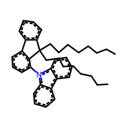 CCCCCCCCC1(CCCCCCCC)c2ccccc2-c2cccc(-n3c4ccccc4c4ccccc43)c21